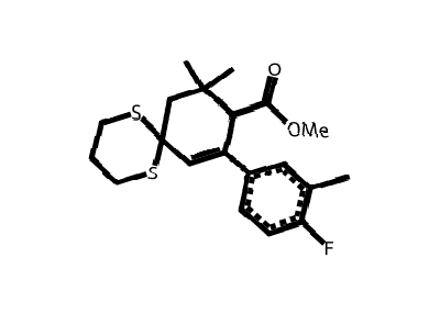 COC(=O)C1C(c2ccc(F)c(C)c2)=CC2(CC1(C)C)SCCCS2